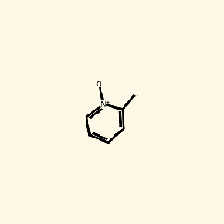 [CH2]c1cccc[n+]1[O-]